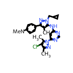 CNc1ccc(-c2nn(CC3CC3)c(Nc3cc(-n4nc(C)c(Cl)c4C)ncn3)c2C)cc1